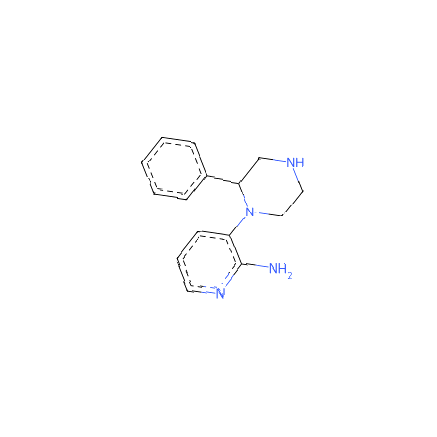 Nc1ncccc1N1CCNCC1c1ccccc1